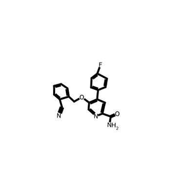 N#Cc1ccccc1COc1cnc(C(N)=O)cc1-c1ccc(F)cc1